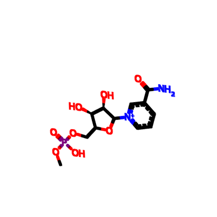 COP(=O)(O)OCC1OC([n+]2cccc(C(N)=O)c2)[C@H](O)[C@@H]1O